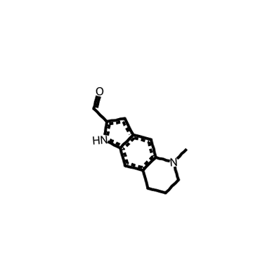 CN1CCCc2cc3[nH]c(C=O)cc3cc21